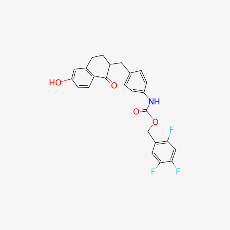 O=C(Nc1ccc(CC2CCc3cc(O)ccc3C2=O)cc1)OCc1cc(F)c(F)cc1F